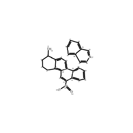 CC1CCCc2c1ccc1c2cc([N+](=O)[O-])c2ccccc21.c1ccc2cnccc2c1